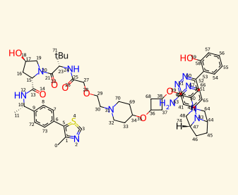 Cc1ncsc1-c1ccc([C@H](C)NC(=O)[C@@H]2C[C@@H](O)CN2C(=O)[C@@H](NC(=O)COCCN2CCC(OC3CC(Oc4cc(N5C6CC[C@@H]5CN(c5cc(-c7ccccc7O)nnc5N)C6)ccn4)C3)CC2)C(C)(C)C)cc1